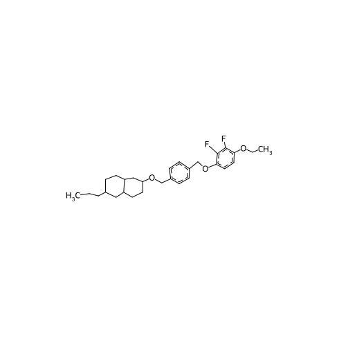 CCCC1CCC2CC(OCc3ccc(COc4ccc(OCC)c(F)c4F)cc3)CCC2C1